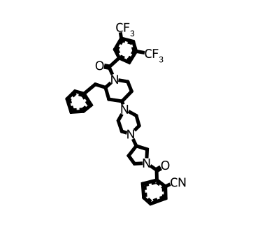 N#Cc1ccccc1C(=O)N1CCC(N2CCN(C3CCN(C(=O)c4cc(C(F)(F)F)cc(C(F)(F)F)c4)C(Cc4ccccc4)C3)CC2)C1